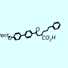 CCCCCOc1ccc(-c2ccc(C(=O)C[C@H](CCCc3ccccc3)C(=O)O)cc2)cc1